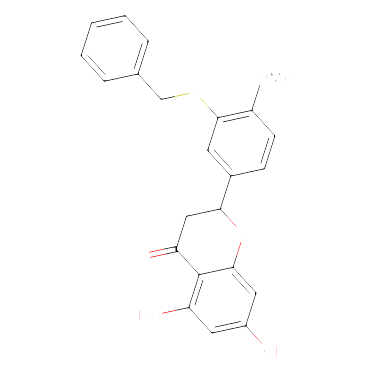 COc1ccc(C2CC(=O)c3c(O)cc(O)cc3O2)cc1SCc1ccccc1